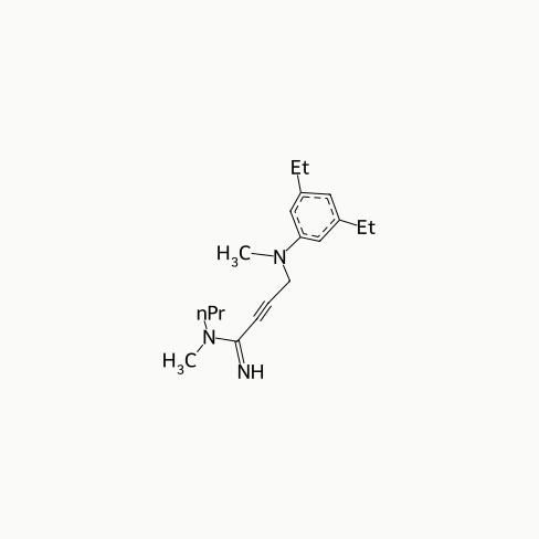 CCCN(C)C(=N)C#CCN(C)c1cc(CC)cc(CC)c1